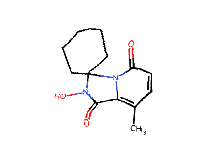 Cc1ccc(=O)n2c1C(=O)N(O)C21CCCCC1